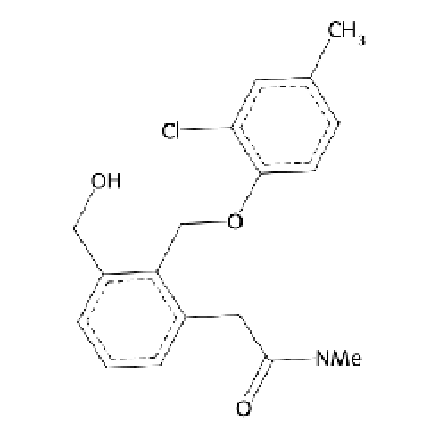 CNC(=O)Cc1cccc(CO)c1COc1ccc(C)cc1Cl